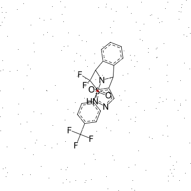 O=S(=O)(c1ccc(C(F)(F)F)cc1)N1C2c3ccccc3C1C(F)(F)c1[nH]ncc12